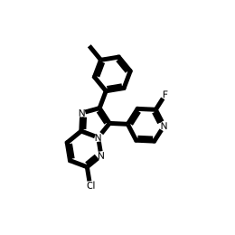 Cc1cccc(-c2nc3ccc(Cl)nn3c2-c2ccnc(F)c2)c1